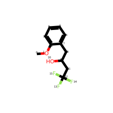 COc1ccccc1CC(O)CC(F)(F)F